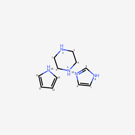 C1CNCCN1.c1c[nH]cn1.c1cc[nH]c1